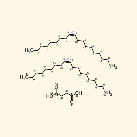 CCCCCCCC/C=C\CCCCCCCCN.CCCCCCCC/C=C\CCCCCCCCN.O=C(O)CCC(=O)O